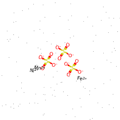 O=S(=O)([O-])[O-].O=S(=O)([O-])[O-].O=S(=O)([O-])[O-].[Fe+2].[Mn+2].[Ni+2]